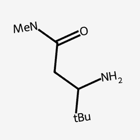 CNC(=O)CC(N)C(C)(C)C